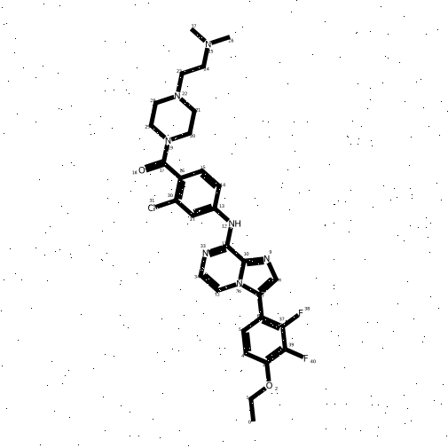 CCOc1ccc(-c2cnc3c(Nc4ccc(C(=O)N5CCN(CCN(C)C)CC5)c(Cl)c4)nccn23)c(F)c1F